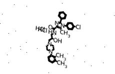 Cc1cccc(N2CCN(CC(O)CNC(=O)c3nc(-c4ccccc4)n(-c4ccc(Cl)cc4)c3C)CC2)c1C.Cl.Cl